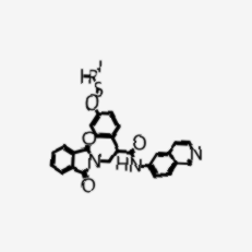 O=C(Nc1ccc2cnccc2c1)C(CN1C(=O)c2ccccc2C1=O)c1ccc(OSP(I)I)cc1